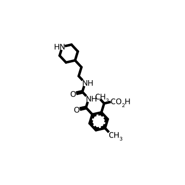 Cc1ccc(C(=O)NC(=O)NCCC2CCNCC2)c(C(C)C(=O)O)c1